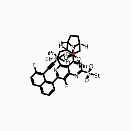 CC[C@@H]1C[C@@H]2[C@@H]3CC[C@H](CN2c2nc(S(=O)(=O)CC)nc4c(F)c(-c5cccc6ccc(F)c(C#C[Si](C(C)C)(C(C)C)C(C)C)c56)nc1c24)N3C(=O)OC(C)(C)C